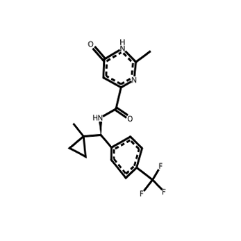 Cc1nc(C(=O)N[C@@H](c2ccc(C(F)(F)F)cc2)C2(C)CC2)cc(=O)[nH]1